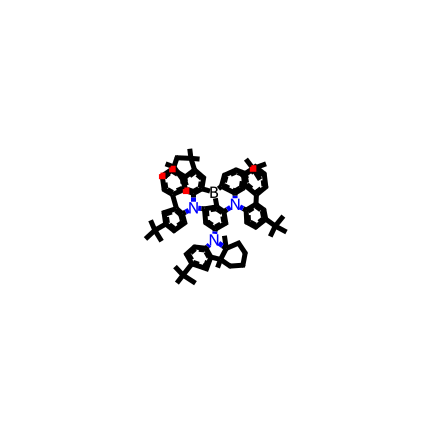 CC(C)(C)c1ccc(N2c3cc(C(C)(C)C)ccc3B3c4cc5c(cc4N(c4ccc(C(C)(C)C)cc4-c4ccccc4)c4cc(N6c7ccc(C(C)(C)C)cc7C7(C)CCCCC67C)cc2c43)C(C)(C)CC5(C)C)c(-c2ccccc2)c1